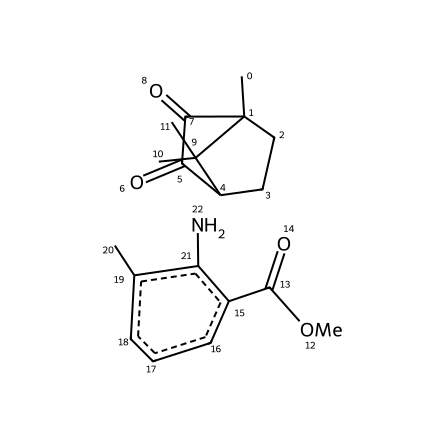 CC12CCC(C(=O)C1=O)C2(C)C.COC(=O)c1cccc(C)c1N